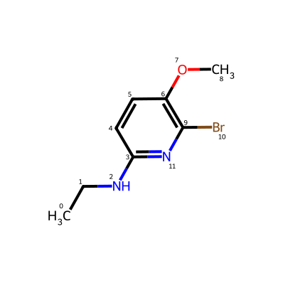 CCNc1ccc(OC)c(Br)n1